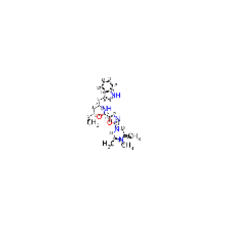 CCCCC(Cc1c[nH]c2ccccc12)NC(=O)c1cnc(N2C[C@@H](C)N(C)[C@@H](C)C2)o1